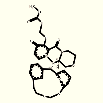 COC(=O)OCOc1c2n(ccc1=O)N([C@H]1c3cccc(c3)CCCCSc3cccc1c3)[C@@H]1COCCN1C2=O